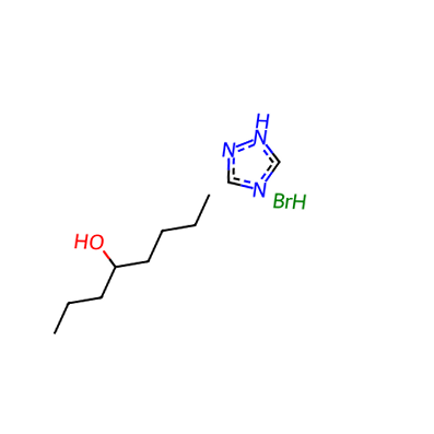 Br.CCCCC(O)CCC.c1nc[nH]n1